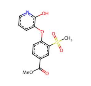 COC(=O)c1ccc(Oc2cccnc2O)c(S(C)(=O)=O)c1